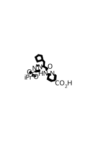 CC(C)S(=O)(=O)c1cn(C(CC2CCCC2)C(=O)Nc2ccc(C(=O)O)cn2)cn1